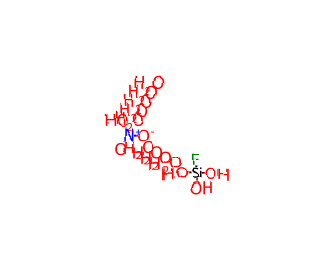 O.O.O.O.O.O.O.O.O.O=[N+]([O-])O.O[Si](O)(O)F